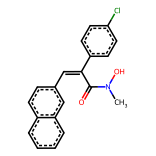 CN(O)C(=O)C(=Cc1ccc2ccccc2c1)c1ccc(Cl)cc1